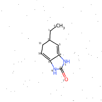 CCC1C=c2[nH]c(=O)[nH]c2=CC1